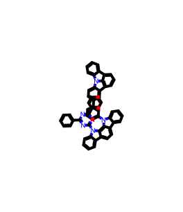 c1ccc(-c2nc(-c3ccccc3)nc(-n3c4ccccc4c4ccc5c6ccccc6n(-c6cccc(-c7ccc8c(c7)c7cccc9c%10ccccc%10n8c97)c6)c5c43)n2)cc1